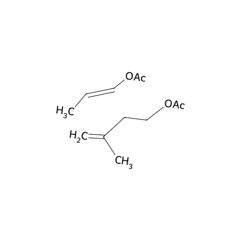 C=C(C)CCOC(C)=O.CC=COC(C)=O